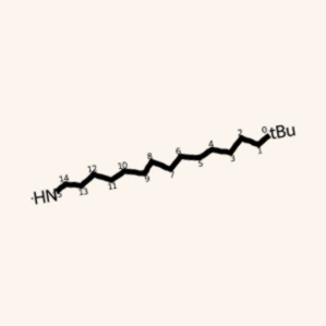 CC(C)(C)CCCCCCCCCCCCCC[NH]